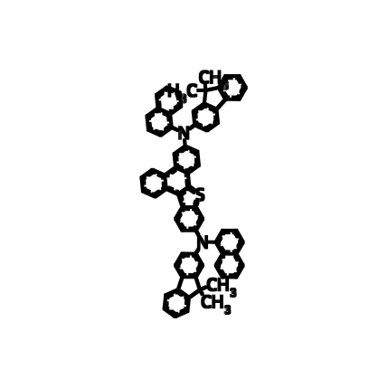 CC1(C)c2ccccc2-c2ccc(N(c3ccc4c(c3)sc3c5ccc(N(c6ccc7c(c6)C(C)(C)c6ccccc6-7)c6cccc7ccccc67)cc5c5ccccc5c43)c3cccc4ccccc34)cc21